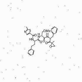 COCC(NC(=O)C(CCc1ccccc1)NC(=O)c1cnc(C)s1)C(=O)NC(Cc1ccccc1)C(=O)C1(C)CO1